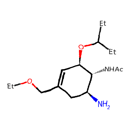 CCOCC1=C[C@@H](OC(CC)CC)[C@H](NC(C)=O)[C@@H](N)C1